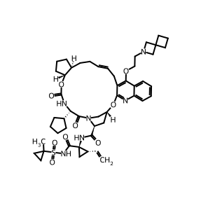 C=C[C@@H]1C[C@]1(NC(=O)[C@@H]1C[C@@H]2CN1C(=O)[C@H](C1CCCC1)NC(=O)O[C@@H]1CCC[C@H]1CC/C=C/Cc1c(nc3ccccc3c1OCCN1CC3(CCC3)C1)O2)C(=O)NS(=O)(=O)C1(C)CC1